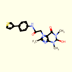 CN1C(=O)c2c(nc(C(F)(F)F)n2CC(=O)Nc2ccc(-c3ccsc3)cc2)N(C)C1O